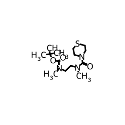 CN(CCN(C)C(=O)N1CCSCC1)C(=O)OC(C)(C)C